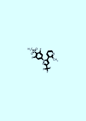 Cc1ncccc1-c1cc(C(F)(F)F)nn1-c1cc(F)c(S(C)(=O)=O)c(F)c1